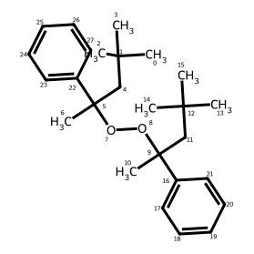 CC(C)(C)CC(C)(OOC(C)(CC(C)(C)C)c1ccccc1)c1ccccc1